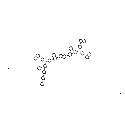 c1ccc(-c2ccc(-c3ccc(-c4ccc(N(c5ccc(-c6cccc7ccccc67)cc5)c5ccc(-c6ccc(-c7ccc8cc(-c9ccc(-c%10ccc(N(c%11ccc(-c%12cccc%13ccccc%12%13)cc%11)c%11ccc(-c%12cccc%13ccccc%12%13)cc%11)cc%10-c%10ccccc%10)cc9)ccc8c7)c7ccccc67)cc5)cc4-c4ccccc4)cc3)cc2)cc1